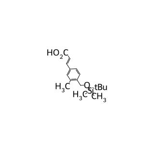 Cc1cc(C=CC(=O)O)ccc1CO[Si](C)(C)C(C)(C)C